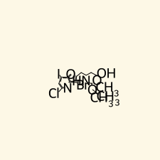 CC(C)(C)OC(=O)NC(CCO)Cc1oc2c(I)cc(Cl)nc2c1Br